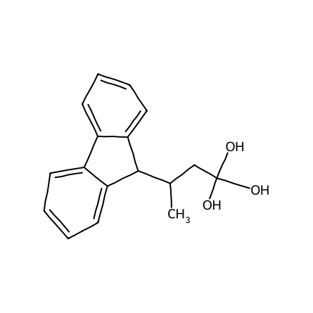 CC(CC(O)(O)O)C1c2ccccc2-c2ccccc21